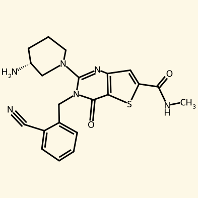 CNC(=O)c1cc2nc(N3CCC[C@@H](N)C3)n(Cc3ccccc3C#N)c(=O)c2s1